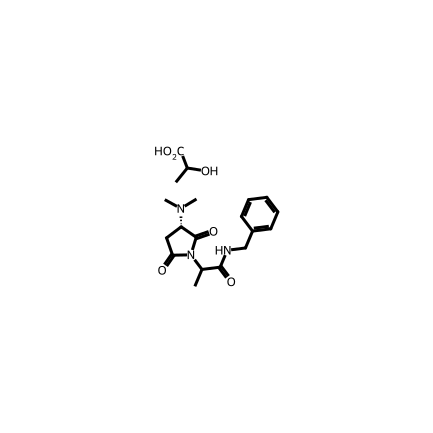 CC(C(=O)NCc1ccccc1)N1C(=O)C[C@H](N(C)C)C1=O.CC(O)C(=O)O